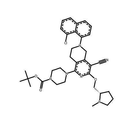 CN1CCC[C@H]1COc1nc(N2CCN(C(=O)OC(C)(C)C)CC2)c2c(c1C#N)CN(c1cccc3cccc(Cl)c13)CC2